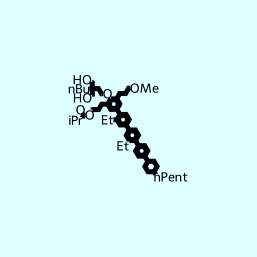 CCCCCC1CCC(c2ccc(-c3ccc(-c4ccc(-c5cc(CCCOC)c(OCCC(CO)(CO)CCCC)c(CCCOC(=O)C(C)C)c5)c(CC)c4)cc3CC)cc2)CC1